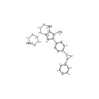 N#Cc1c(-c2ccc(C3CC3c3ccccc3)cc2)nn2c1NCC[C@H]2C1CCNCC1